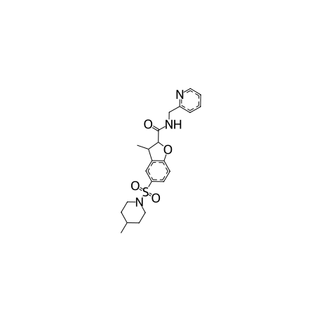 CC1CCN(S(=O)(=O)c2ccc3c(c2)C(C)C(C(=O)NCc2ccccn2)O3)CC1